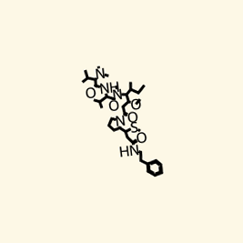 CCC(C)C(C(CC(=O)N1CCCC1C(CC(=O)NCCc1ccccc1)SC)OC)N(C)C(=O)C(NC(=O)C(C(C)C)N(C)C)C(C)C